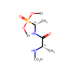 CCOP(=O)(OCC)[C@H](C)NC(=O)[C@H](C)NC(=O)O